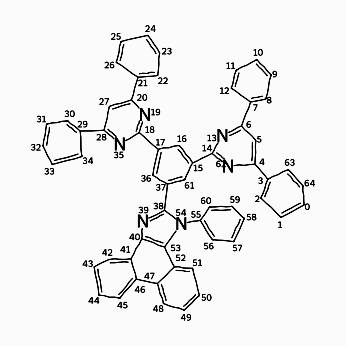 c1ccc(-c2cc(-c3ccccc3)nc(-c3cc(-c4nc(-c5ccccc5)cc(-c5ccccc5)n4)cc(-c4nc5c6ccccc6c6ccccc6c5n4-c4ccccc4)c3)n2)cc1